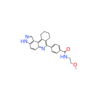 COCCNC(=O)c1ccc(-c2nc3ccc4[nH]ncc4c3c3c2CCCC3)cc1